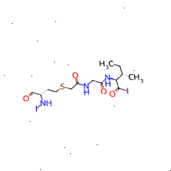 CC[C@H](C)[C@H](NC(=O)CNC(=O)CSCC[C@@H](C=O)NI)C(=O)I